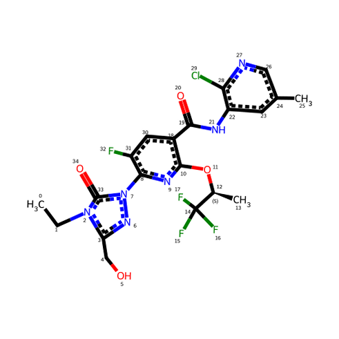 CCn1c(CO)nn(-c2nc(O[C@@H](C)C(F)(F)F)c(C(=O)Nc3cc(C)cnc3Cl)cc2F)c1=O